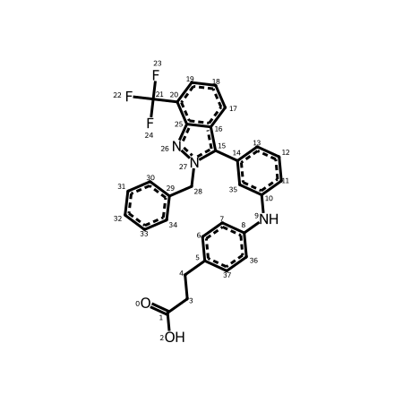 O=C(O)CCc1ccc(Nc2cccc(-c3c4cccc(C(F)(F)F)c4nn3Cc3ccccc3)c2)cc1